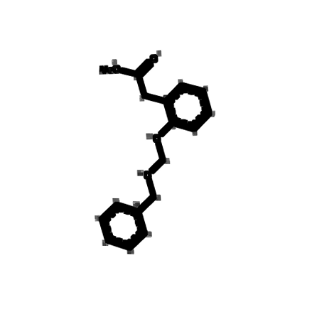 COC(=O)Cc1ccccc1OCOCc1ccccc1